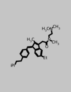 CCc1ccc2c(c1)C(CC(=O)N(C)CCN(C)C)=C(C)/C2=C/c1ccc(CCC(C)C)cc1